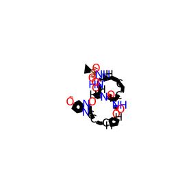 COc1ccc2nc3c(nc2c1)O[C@@H]1C[C@H]2C(=O)N[C@]4(C(=O)NS(=O)(=O)C5CC5)C[C@H]4/C=C\CCCCC[C@H](NC(=O)O[C@@H]4CCC[C@H]4CCCCC3)C(=O)N2C1